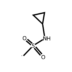 [CH2]S(=O)(=O)NC1CC1